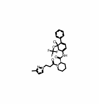 Cc1ccn(CCC(=O)N2CCCC[C@@H]2C(=O)NC2=CC=C(c3ccccc3)C(Cl)(OC(F)(F)F)C2)n1